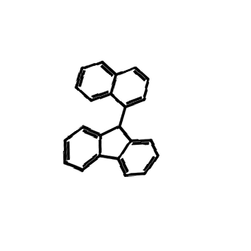 c1ccc2c(c1)-c1ccccc1C2c1cccc2ccccc12